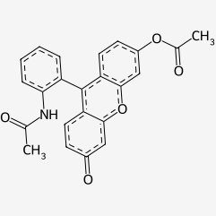 CC(=O)Nc1ccccc1-c1c2ccc(=O)cc-2oc2cc(OC(C)=O)ccc12